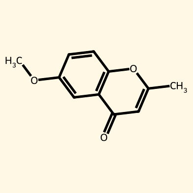 COc1ccc2oc(C)cc(=O)c2c1